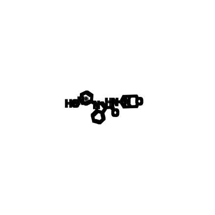 CN1C2COCC1CC(NC(=O)c1cn(-c3ccc[n+](O)c3)c3ccccc13)C2